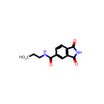 O=C(O)CCNC(=O)c1ccc2c(c1)C(=O)NC2=O